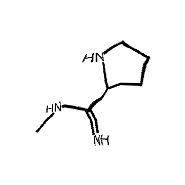 CNC(=N)C1CCCN1